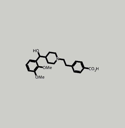 COc1cccc(C(O)C2CCN(CCc3ccc(C(=O)O)cc3)CC2)c1OC